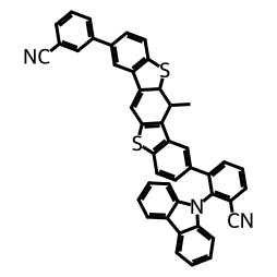 CC1c2c(sc3ccc(-c4cccc(C#N)c4-n4c5ccccc5c5ccccc54)cc23)C=C2c3cc(-c4cccc(C#N)c4)ccc3SC21